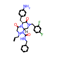 C=CCN1CC(=O)N2[C@@H](Cc3ccc(N)cc3)C(=O)N(Cc3ccc(F)cc3F)C[C@@H]2N1C(=O)NCc1ccccc1